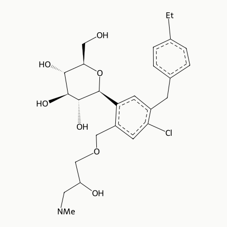 CCc1ccc(Cc2cc([C@@H]3O[C@H](CO)[C@@H](O)[C@H](O)[C@H]3O)c(COCC(O)CNC)cc2Cl)cc1